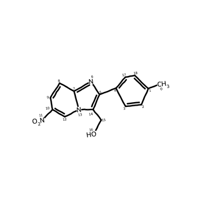 Cc1ccc(-c2nc3ccc([N+](=O)[O-])cn3c2CO)cc1